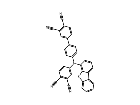 N#Cc1ccc(-c2ccc(N(c3ccc(C#N)c(C#N)c3)c3cccc4c3sc3ccccc34)cc2)cc1C#N